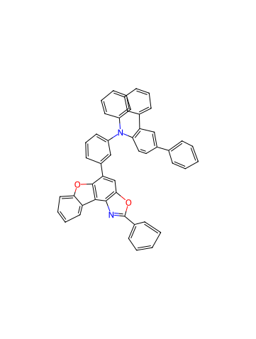 c1ccc(-c2ccc(N(c3ccccc3)c3cccc(-c4cc5oc(-c6ccccc6)nc5c5c4oc4ccccc45)c3)c(-c3ccccc3)c2)cc1